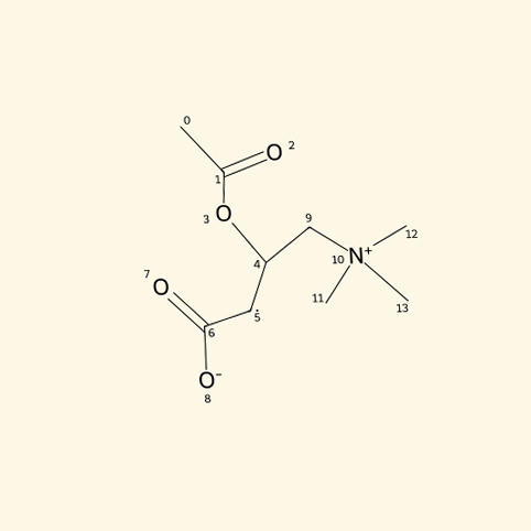 CC(=O)OC([CH]C(=O)[O-])C[N+](C)(C)C